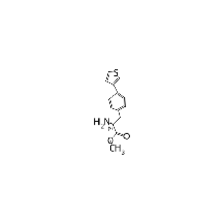 COC(=O)[C@@H](N)Cc1ccc(-c2ccsc2)cc1